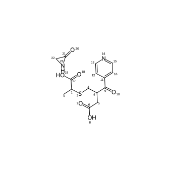 CC(SCC(CC(=O)O)C(=O)c1ccncc1)C(=O)O.O=C1CN1